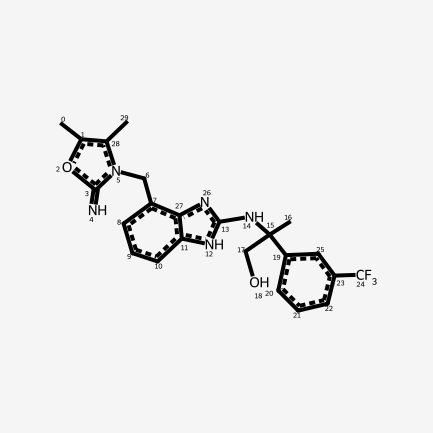 Cc1oc(=N)n(Cc2cccc3[nH]c(NC(C)(CO)c4cccc(C(F)(F)F)c4)nc23)c1C